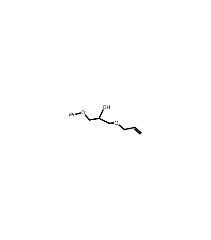 [CH2]C(C)OCC(O)COCC=C